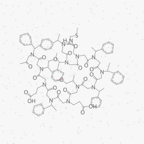 COCC(C)N(CC(=O)N(CCC(=O)O)CC(=O)N(CC(=O)N(CCC(=O)O)CC(=O)N(CC(=O)N(CC(C)=O)C(C)c1ccccc1)C(C)COC)C(C)c1ccccc1)C(=O)CN(C(=O)CN(C(=O)CN(C(=O)CN(CCN)C(=O)CN(C(=O)CN(C(=O)CSC)C(C)c1ccccc1)C(C)c1ccccc1)C(C)c1ccccc1)C(C)c1ccccc1)C(C)c1ccccc1